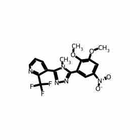 COc1cc([N+](=O)[O-])cc(-c2nnc(-c3cccnc3C(F)(F)F)n2C)c1OC